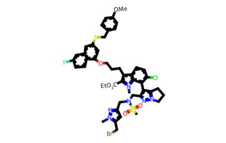 CCOC(=O)c1c(CCCOc2cc(SCc3ccc(OC)cc3)cc3cc(F)ccc23)c2ccc(Cl)c(-c3c(CN(Cc4cc(CBr)n(C)n4)S(C)(=O)=O)nn4c3CCC4)c2n1C